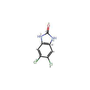 O=c1[nH]c2cc(Cl)c(Cl)cc2[nH]1